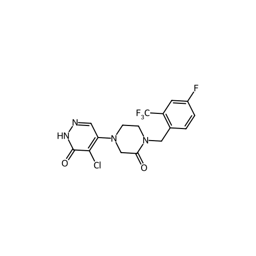 O=C1CN(c2cn[nH]c(=O)c2Cl)CCN1Cc1ccc(F)cc1C(F)(F)F